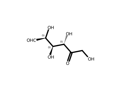 O=C[C@@H](O)[C@H](O)[C@H](O)C(=O)CO